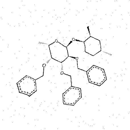 C[C@@H]1C[CH][C@@H](O[C@@H]2O[C@@H](C)[C@@H](OCc3ccccc3)[C@@H](OCc3ccccc3)[C@@H]2OCc2ccccc2)[C@@H](C)C1